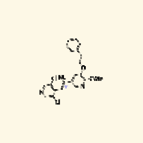 COc1ncc(/C(C#N)=C/c2c(Cl)cncc2Cl)cc1OCCc1ccccc1